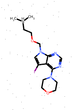 C[SiH](C)CCOCn1cc(I)c2c(N3CCOCC3)ncnc21